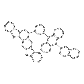 c1cc(-c2c3ccccc3c(-c3ccc4ccccc4c3)c3ccccc23)cc(-c2cc3c4ccccc4sc3c3cc4sc5ccccc5c4cc23)c1